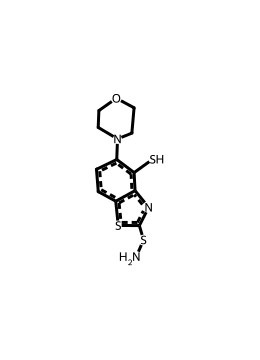 NSc1nc2c(S)c(N3CCOCC3)ccc2s1